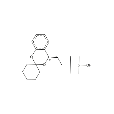 CC(C)(CC[C@H]1OC2(CCCCC2)Oc2ccccc21)[Si](C)(C)O